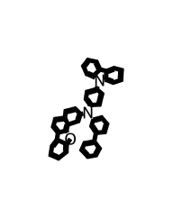 c1ccc(-c2cccc(N(c3ccc(-n4c5ccccc5c5ccccc54)cc3)c3ccc4ccc5c6ccccc6oc5c4c3)c2)cc1